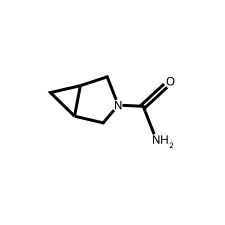 NC(=O)N1CC2CC2C1